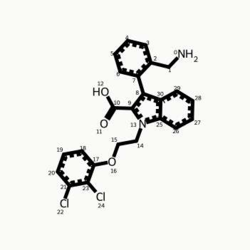 NCc1ccccc1-c1c(C(=O)O)n(CCOc2cccc(Cl)c2Cl)c2ccccc12